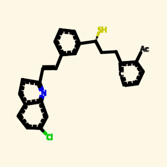 CC(=O)c1ccccc1CC[C@@H](S)c1cccc(C=Cc2ccc3ccc(Cl)cc3n2)c1